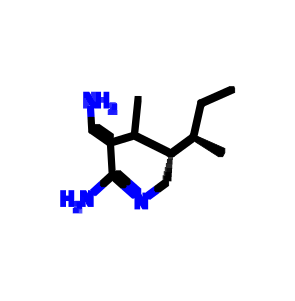 CC[C@@H](C)[C@@H]1CN=C(N)/C(=C/N)C1C